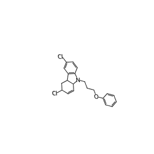 Clc1ccc2c(c1)C1CC(Cl)C=CC1N2CCCOc1ccccc1